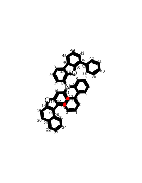 c1ccc(-c2ccccc2N(c2ccc3c(c2)oc2ccc4ccccc4c23)c2cccc3c2oc2c(-c4ccccc4)cccc23)cc1